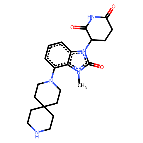 Cn1c(=O)n(C2CCC(=O)NC2=O)c2cccc(N3CCC4(CCNCC4)CC3)c21